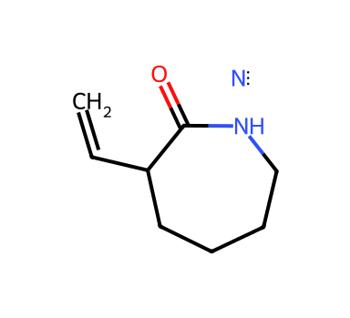 C=CC1CCCCNC1=O.[N]